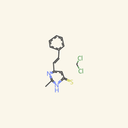 Cc1nc(C=Cc2ccccc2)cc(=S)[nH]1.ClCCl